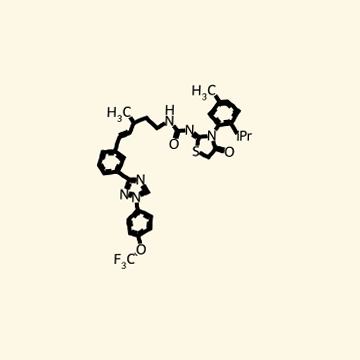 Cc1ccc(C(C)C)c(N2C(=O)CS/C2=N\C(=O)NCCC(C)/C=C/c2cccc(-c3ncn(-c4ccc(OC(F)(F)F)cc4)n3)c2)c1